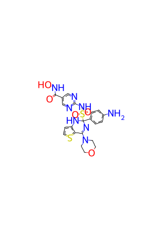 Nc1ccc(C2(S(=O)(=O)Nc3ncc(C(=O)NO)cn3)N=C(N3CCOCC3)c3sccc3N2)cc1